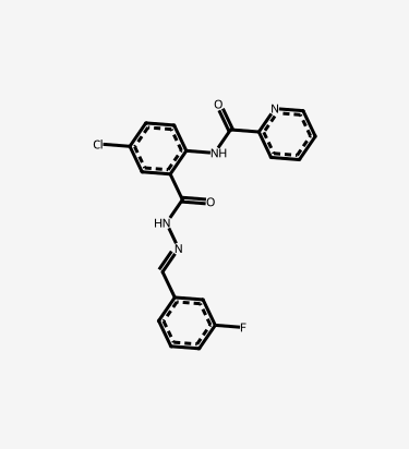 O=C(Nc1ccc(Cl)cc1C(=O)NN=Cc1cccc(F)c1)c1ccccn1